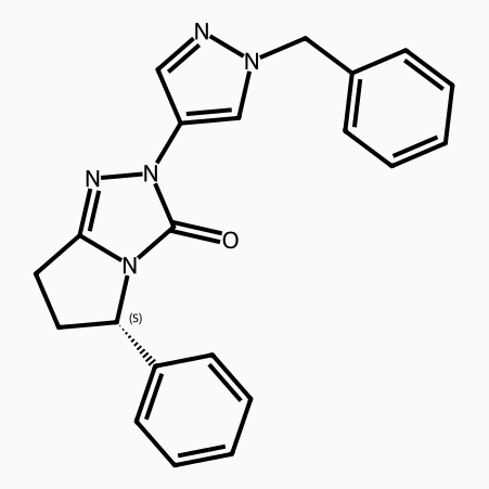 O=c1n(-c2cnn(Cc3ccccc3)c2)nc2n1[C@H](c1ccccc1)CC2